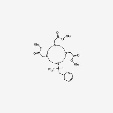 CC(C)(C)OC(=O)CN1CCN(CC(=O)OC(C)(C)C)CCN(C(C)(Cc2ccccc2)C(=O)O)CCN(CC(=O)OC(C)(C)C)CC1